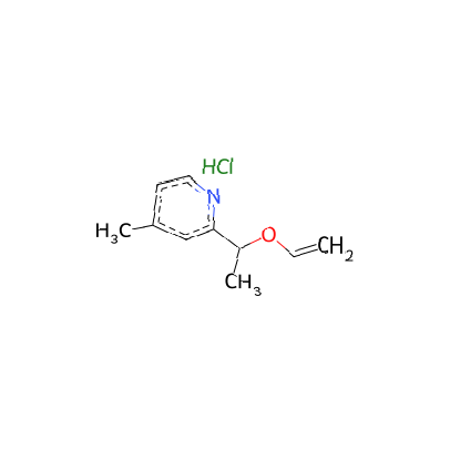 C=COC(C)c1cc(C)ccn1.Cl